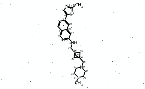 Cc1ncc(-c2ccc3cnc(NCC45CC(CN6CCN(C)CC6)(C4)C5)cc3c2)o1